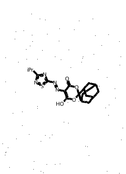 CC(C)c1nsc(N=NC2=C(O)OC3(OC2=O)C2CC4CC(C2)CC3C4)n1